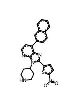 O=[N+]([O-])c1ccc(-c2nc3c(-c4ccc5ccccc5c4)ccnc3n2C2CCNCC2)s1